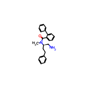 CN(C(=O)c1ccccc1-c1ccccc1)[C@@H](CN)CCc1ccccc1